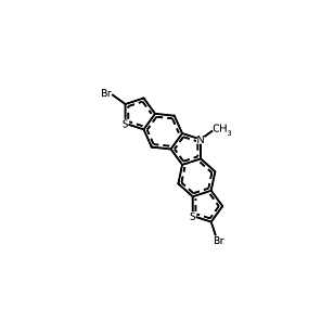 Cn1c2cc3cc(Br)sc3cc2c2cc3sc(Br)cc3cc21